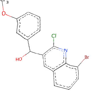 OC(c1cccc(OC(F)(F)F)c1)c1cc2cccc(Br)c2nc1Cl